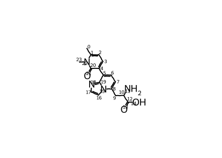 Cc1ccc(-c2ccc(CC(N)C(=O)O)n3ccnc23)c(=O)n1C